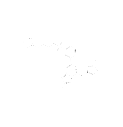 Cc1cn2c(Nc3cc(C)[nH]n3)nc(-c3cccc(S(=O)(=O)NCCCN4CCCC4)c3)cc2n1